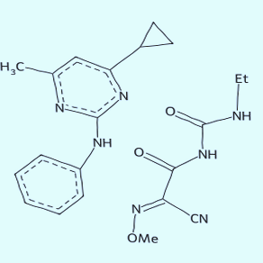 CCNC(=O)NC(=O)/C(C#N)=N/OC.Cc1cc(C2CC2)nc(Nc2ccccc2)n1